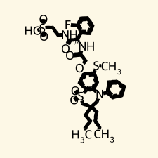 CCCCC1(CCCC)CN(c2ccccc2)c2cc(SC)c(OCC(=O)N[C@@H](C(=O)NCCS(=O)(=O)O)c3ccccc3F)cc2S(=O)(=O)C1